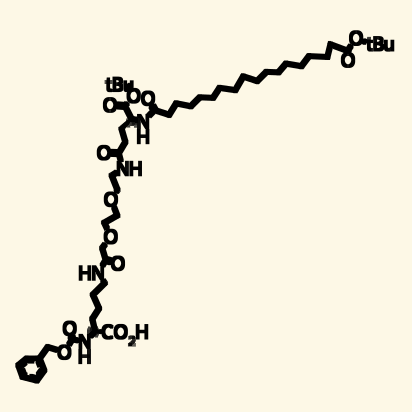 CC(C)(C)OC(=O)CCCCCCCCCCCCCCCCC(=O)N[C@@H](CCC(=O)NCCOCCOCC(=O)NCCCC[C@H](NC(=O)OCc1ccccc1)C(=O)O)C(=O)OC(C)(C)C